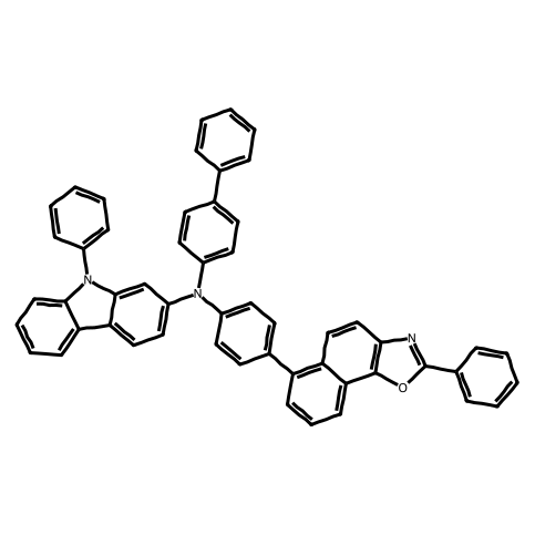 c1ccc(-c2ccc(N(c3ccc(-c4cccc5c4ccc4nc(-c6ccccc6)oc45)cc3)c3ccc4c5ccccc5n(-c5ccccc5)c4c3)cc2)cc1